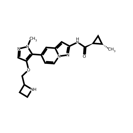 C[C@H]1C[C@@H]1C(=O)Nc1cc2cc(-c3c(OCC4CCN4)cnn3C)ccn2n1